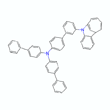 C1=CC2=CC(C=C1)c1ccccc1N2c1cccc(-c2ccc(N(c3ccc(-c4ccccc4)cc3)c3ccc(-c4ccccc4)cc3)cc2)c1